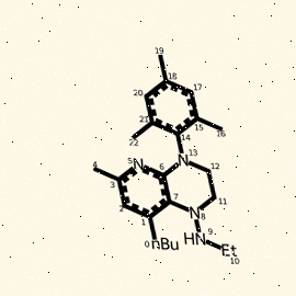 CCCCc1cc(C)nc2c1N(NCC)CCN2c1c(C)cc(C)cc1C